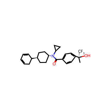 C[C@](O)(c1ccc(C(=O)N(C2CC2)[C@H]2CC[C@H](C3C=CC=CC3)CC2)cc1)C(F)(F)F